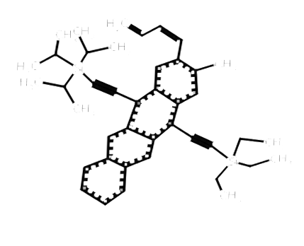 C=C/C=C\c1cc2c(C#C[Si](C(C)C)(C(C)C)C(C)C)c3cc4ccccc4cc3c(C#C[Si](CC)(CC)CC)c2cc1C